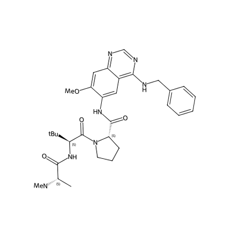 CN[C@@H](C)C(=O)N[C@H](C(=O)N1CCC[C@H]1C(=O)Nc1cc2c(NCc3ccccc3)ncnc2cc1OC)C(C)(C)C